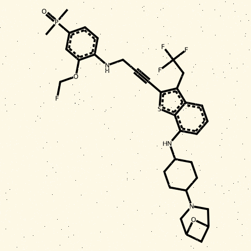 CP(C)(=O)c1ccc(NCC#Cc2sc3c(NC4CCC(N5CC6CC(C5)O6)CC4)cccc3c2CC(F)(F)F)c(OCF)c1